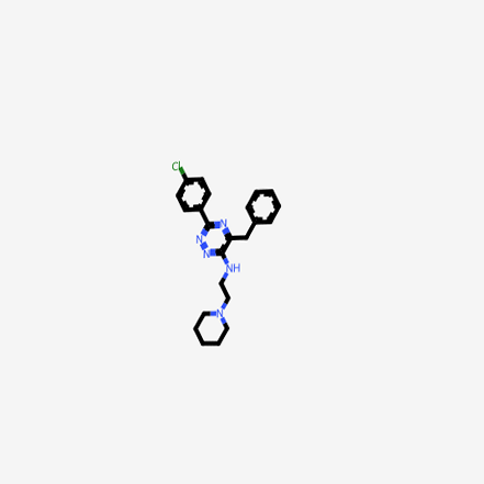 Clc1ccc(-c2nnc(NCCN3CCCCC3)c(Cc3ccccc3)n2)cc1